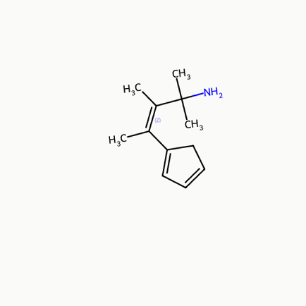 C/C(C1=CC=CC1)=C(\C)C(C)(C)N